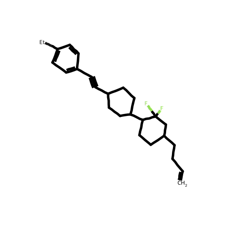 C=CCCC1CCC(C2CCC(C#Cc3ccc(CC)cc3)CC2)C(F)(F)C1